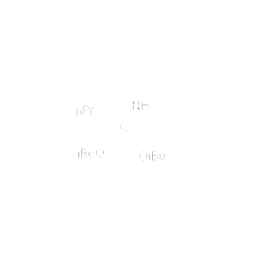 CCC[Si](N)(OCC(C)C)OCC(C)C